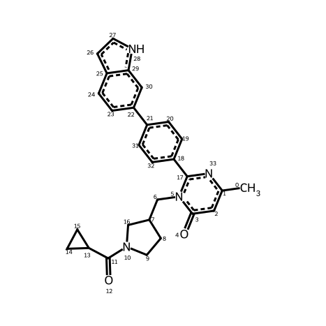 Cc1cc(=O)n(CC2CCN(C(=O)C3CC3)C2)c(-c2ccc(-c3ccc4cc[nH]c4c3)cc2)n1